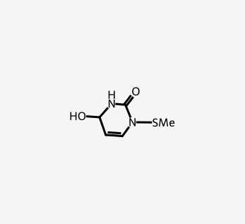 CSN1C=CC(O)NC1=O